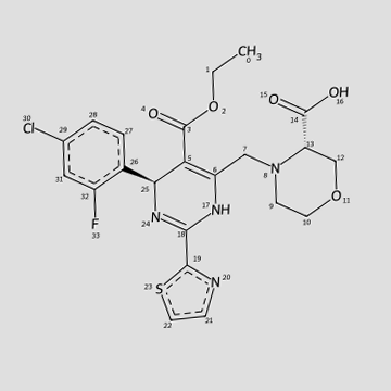 CCOC(=O)C1=C(CN2CCOC[C@H]2C(=O)O)NC(c2nccs2)=N[C@H]1c1ccc(Cl)cc1F